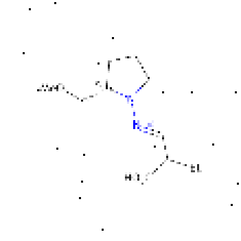 CCC(/C=N/N1CCC[C@H]1COC)C(=O)O